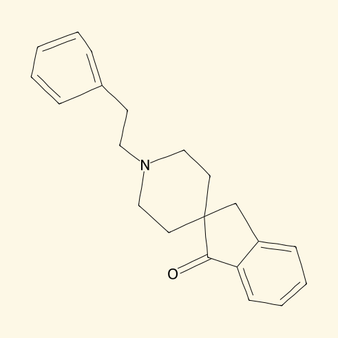 O=C1c2ccccc2CC12CCN(CCc1ccccc1)CC2